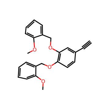 C#Cc1ccc(OCc2ccccc2OC)c(OCc2ccccc2OC)c1